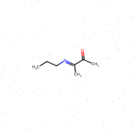 CCC/N=C(\C)C(C)=O